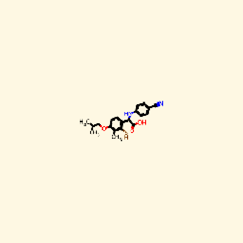 Cc1c(OCC(C)C)ccc(C(Nc2ccc(C#N)cc2)C(=O)O)c1S